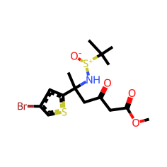 COC(=O)CC(=O)CC(C)(N[S+]([O-])C(C)(C)C)c1cc(Br)cs1